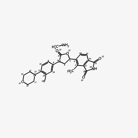 CN.Cc1c(C2CN(c3ccc(N4CCOCC4)c(F)c3)C(=O)O2)ccc2c1C(=O)NC2=O